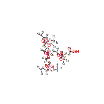 CC(C)CC(C)OP(=O)(OC(C)CC(C)C)SCC(C)OP(=O)(OC(C)CSP(=O)(OC(C)CC(C)C)OC(C)CC(C)C)SCC(C)OP(=O)(OC(C)C)SCCC(=O)O